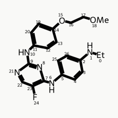 CCNc1ccc(Nc2nc(Nc3ccc(OCCOC)cc3)ncc2F)cc1